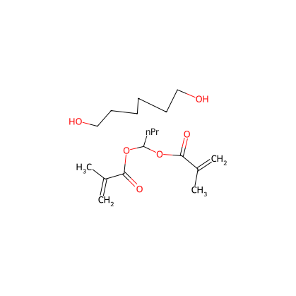 C=C(C)C(=O)OC(CCC)OC(=O)C(=C)C.OCCCCCCO